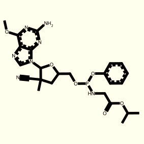 COc1nc(N)nc2c1ncn2C1OC(COP(NCC(=O)OC(C)C)Oc2ccccc2)CC1(C)C#N